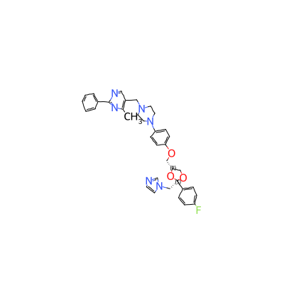 Cc1nc(-c2ccccc2)ncc1CN1CCN(c2ccc(OC[C@@H]3CO[C@@](Cn4ccnc4)(c4ccc(F)cc4)O3)cc2)CC1